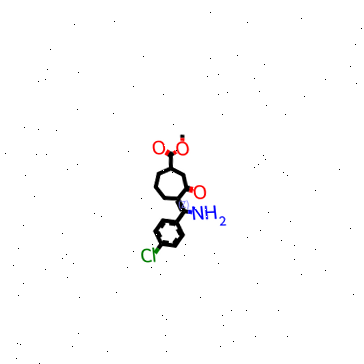 COC(=O)C1CCC/C(=C(/N)c2ccc(Cl)cc2)C(=O)C1